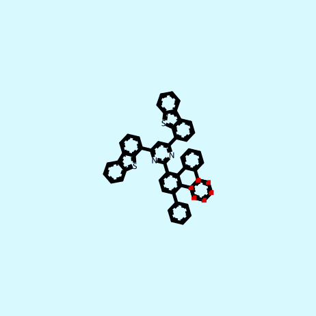 c1ccc(-c2ccccc2-c2c(-c3nc(-c4cccc5c4sc4ccccc45)cc(-c4cccc5c4sc4ccccc45)n3)ccc(-c3ccccc3)c2-c2ccccc2)cc1